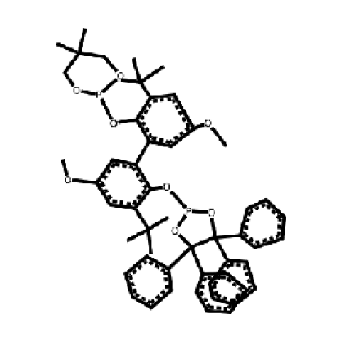 COc1cc(-c2cc(OC)cc(C(C)(C)C)c2OP2OC(c3ccccc3)(c3ccccc3)C(c3ccccc3)(c3ccccc3)O2)c(OP2OCC(C)(C)CO2)c(C(C)(C)C)c1